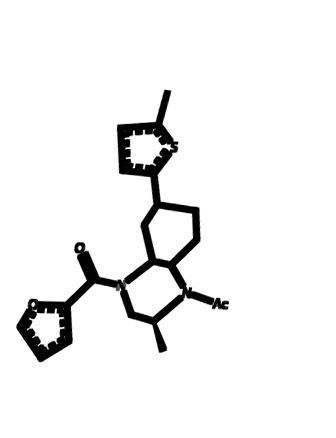 CC(=O)N1C2CCC(c3ccc(C)s3)CC2N(C(=O)c2ccco2)C[C@@H]1C